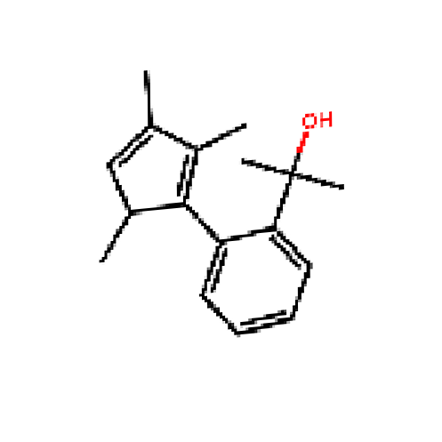 CC1=CC(C)C(c2ccccc2C(C)(C)O)=C1C